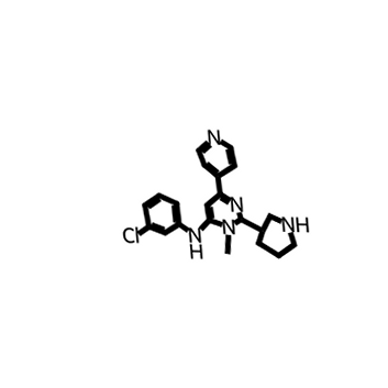 CN1C(Nc2cccc(Cl)c2)=CC(c2ccncc2)=NC1C1CCCNC1